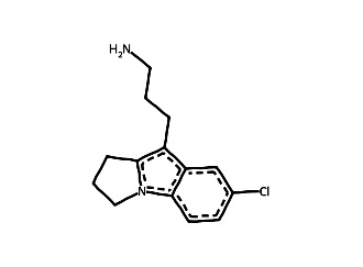 NCCCc1c2n(c3ccc(Cl)cc13)CCC2